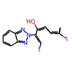 C\C(I)=C/C=C(O)\C(=C\I)n1nc2ccccc2n1